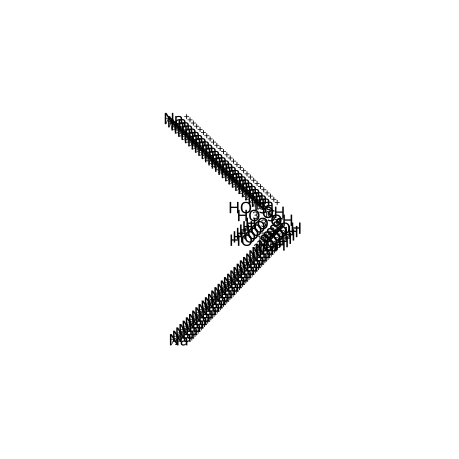 O=S(=O)(O)O.O=S(=O)(O)O.O=S(=O)(O)O.O=S(=O)(O)O.O=S(=O)(O)O.O=S(=O)(O)O.O=S(=O)(O)O.O=S(=O)(O)O.[Na+].[Na+].[Na+].[Na+].[Na+].[Na+].[Na+].[Na+].[Na+].[Na+].[Na+].[Na+].[Na+].[Na+].[Na+].[Na+].[Na+].[Na+].[Na+].[Na+].[Na+].[Na+].[Na+].[Na+].[Na+].[Na+].[Na+].[Na+].[Na+].[Na+].[Na+].[Na+].[Na+].[Na+].[Na+].[Na+].[Na+].[Na+].[Na+].[Na+].[Na+].[Na+].[Na+].[Na+].[Na+].[Na+].[Na+].[Na+].[Na+].[Na+].[Na+].[Na+].[Na+].[Na+].[Na+].[Na+].[Na+]